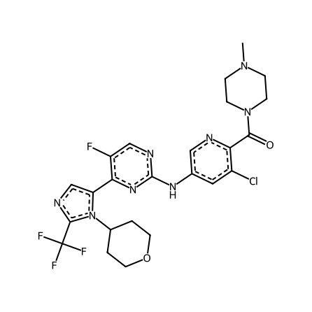 CN1CCN(C(=O)c2ncc(Nc3ncc(F)c(-c4cnc(C(F)(F)F)n4C4CCOCC4)n3)cc2Cl)CC1